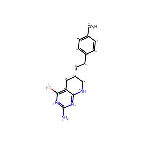 Nc1nc(O)c2c(n1)NC[C@@H](CCc1ccc(C(=O)O)cc1)C2